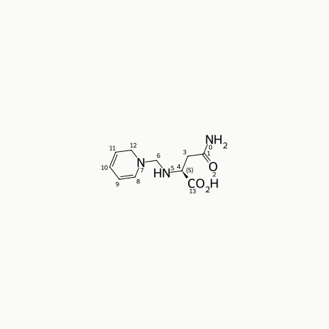 NC(=O)C[C@H](NCN1C=CC=CC1)C(=O)O